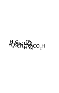 C[Si](C)(C)CCOCC1OCCc2c(C(=O)O)n[nH]c21